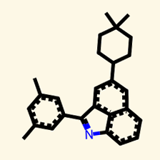 Cc1cc(C)cc(C2=Nc3cccc4cc(C5CCC(C)(C)CC5)cc2c34)c1